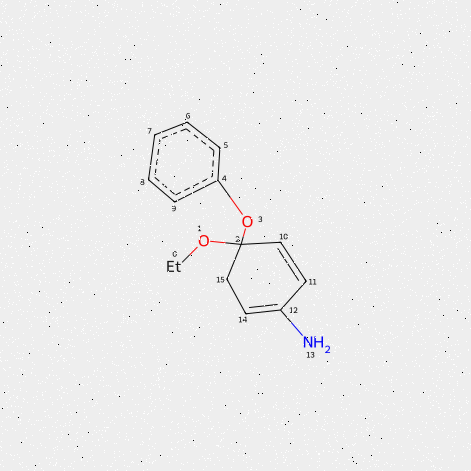 CCOC1(Oc2ccccc2)C=CC(N)=CC1